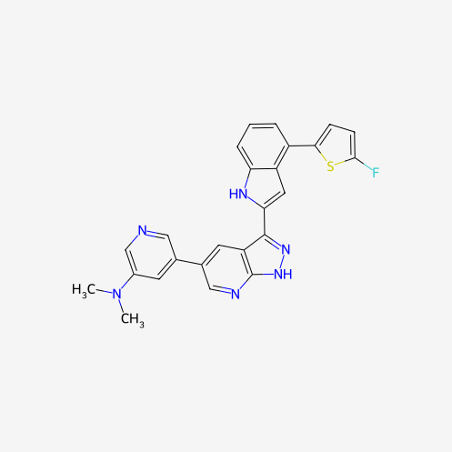 CN(C)c1cncc(-c2cnc3[nH]nc(-c4cc5c(-c6ccc(F)s6)cccc5[nH]4)c3c2)c1